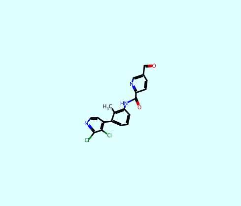 Cc1c(NC(=O)c2ccc(C=O)cn2)cccc1-c1ccnc(Cl)c1Cl